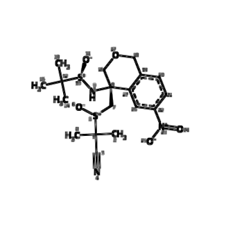 CC(C)(C#N)[S+]([O-])C[C@@]1(N[S@+]([O-])C(C)(C)C)COCc2ccc([N+](=O)[O-])cc21